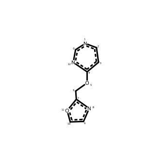 [c]1nccc(OCc2ncco2)n1